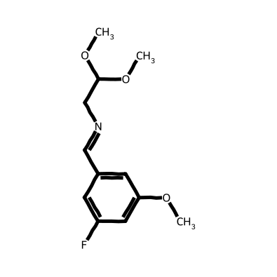 COc1cc(F)cc(/C=N/CC(OC)OC)c1